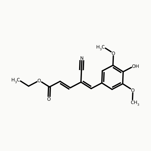 CCOC(=O)C=CC(C#N)=Cc1cc(OC)c(O)c(OC)c1